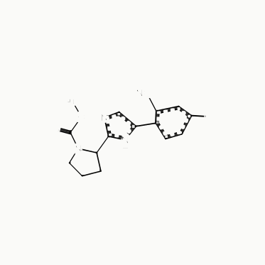 CC(C)(C)OC(=O)N1CCCC1c1ncc(-c2ccc(Cl)cc2C#N)[nH]1